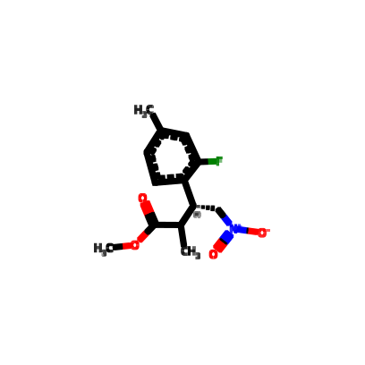 COC(=O)C(C)[C@@H](C[N+](=O)[O-])c1ccc(C)cc1F